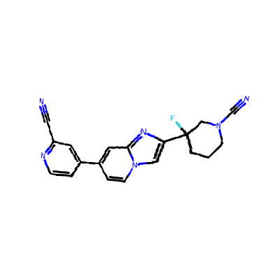 N#Cc1cc(-c2ccn3cc(C4(F)CCCN(C#N)C4)nc3c2)ccn1